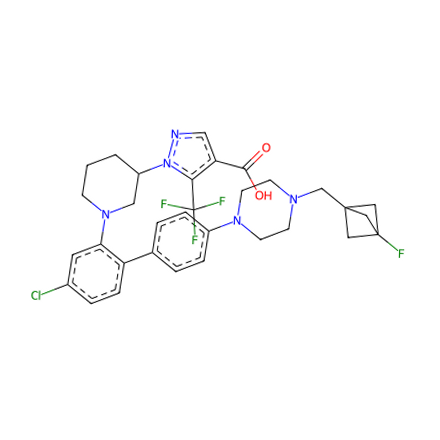 O=C(O)c1cnn(C2CCCN(c3cc(Cl)ccc3-c3ccc(N4CCN(CC56CC(F)(C5)C6)CC4)cc3)C2)c1C(F)(F)F